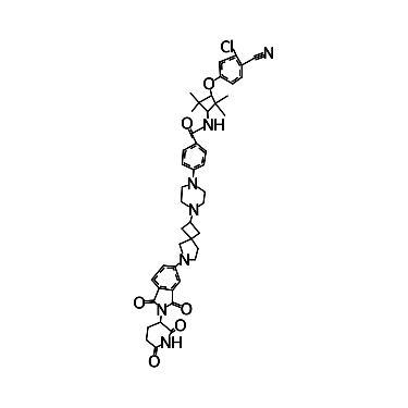 CC1(C)C(NC(=O)c2ccc(N3CCN(C4CC5(CCN(c6ccc7c(c6)C(=O)N(C6CCC(=O)NC6=O)C7=O)C5)C4)CC3)cc2)C(C)(C)C1Oc1ccc(C#N)c(Cl)c1